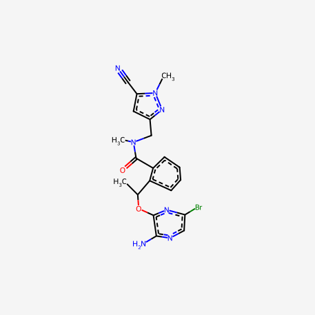 CC(Oc1nc(Br)cnc1N)c1ccccc1C(=O)N(C)Cc1cc(C#N)n(C)n1